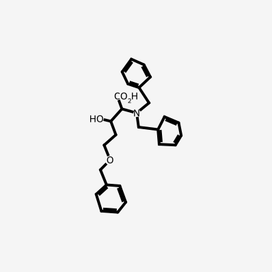 O=C(O)C(C(O)CCOCc1ccccc1)N(Cc1ccccc1)Cc1ccccc1